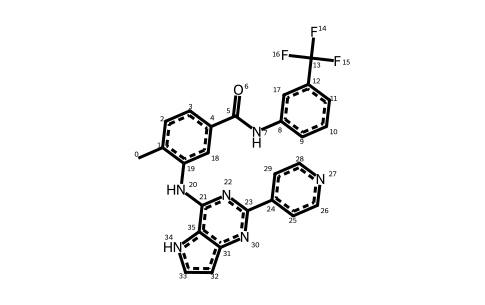 Cc1ccc(C(=O)Nc2cccc(C(F)(F)F)c2)cc1Nc1nc(-c2ccncc2)nc2cc[nH]c12